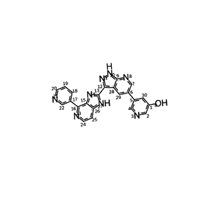 Oc1cncc(-c2cnc3[nH]nc(-c4nc5c(-c6cccnc6)nccc5[nH]4)c3c2)c1